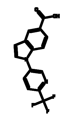 O=C(O)c1ccc2c(ccn2-c2ccc(C(F)(F)F)nc2)c1